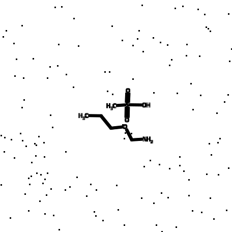 CCCOCN.CS(=O)(=O)O